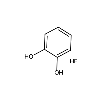 F.Oc1ccccc1O